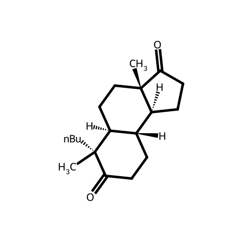 CCCC[C@@]1(C)C(=O)CC[C@@H]2[C@@H]1CC[C@]1(C)C(=O)CC[C@@H]21